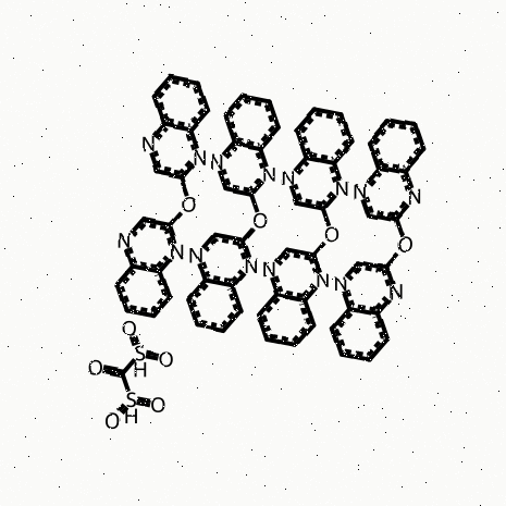 O=C([SH](=O)=O)[SH](=O)=O.c1ccc2nc(Oc3cnc4ccccc4n3)cnc2c1.c1ccc2nc(Oc3cnc4ccccc4n3)cnc2c1.c1ccc2nc(Oc3cnc4ccccc4n3)cnc2c1.c1ccc2nc(Oc3cnc4ccccc4n3)cnc2c1